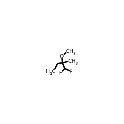 CCC(C)(OC)C(F)F